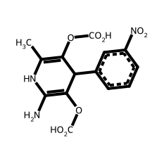 CC1=C(OC(=O)O)C(c2cccc([N+](=O)[O-])c2)C(OC(=O)O)=C(N)N1